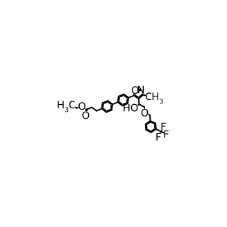 CCOC(=O)CCc1ccc(-c2ccc(-c3onc(C)c3C(O)COCc3cccc(C(F)(F)F)c3)cc2)cc1